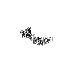 Cc1c(C(=O)N[C@H]2CC[C@H](Oc3nn(C)cc3C(N)=O)CC2)cnn1-c1ccc(Cl)cc1